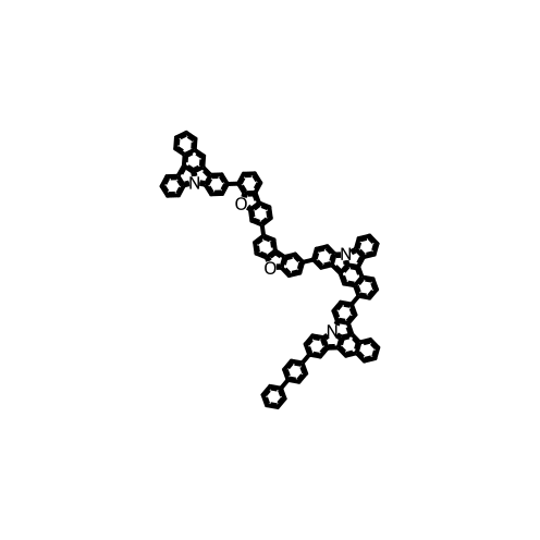 c1ccc(-c2ccc(-c3ccc4c(c3)c3cc5ccccc5c5c6cc(-c7cccc8c7cc7c9cc(-c%10ccc%11oc%12ccc(-c%13ccc%14c(c%13)oc%13c(-c%15ccc%16c(c%15)c%15cc%17ccccc%17c%17c%18ccccc%18n%16c%15%17)cccc%13%14)cc%12c%11c%10)ccc9n9c%10ccccc%10c8c79)ccc6n4c35)cc2)cc1